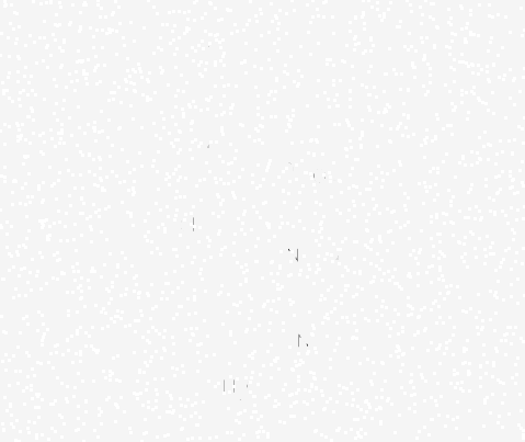 C=C[n+]1ccn(CC(=O)c2ccccc2)c1.[Cl-]